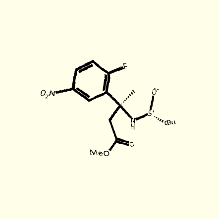 COC(=O)C[C@](C)(N[S@+]([O-])C(C)(C)C)c1cc([N+](=O)[O-])ccc1F